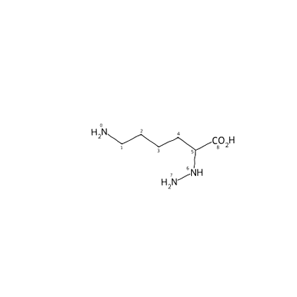 NCCCCC(NN)C(=O)O